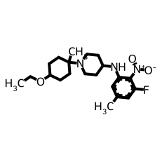 CCOC1CCC(C)(N2CCC(Nc3cc(C)cc(F)c3[N+](=O)[O-])CC2)CC1